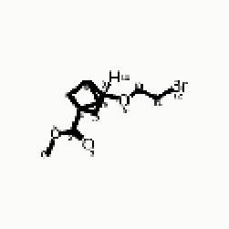 COC(=O)C12CC(C1)[C@H](OCCBr)C2